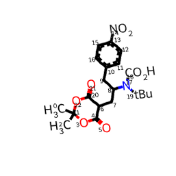 CC1(C)OC(=O)C(CC(Cc2ccc([N+](=O)[O-])cc2)N(C(=O)O)C(C)(C)C)C(=O)O1